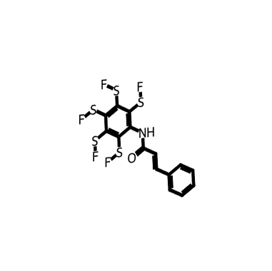 O=C(C=Cc1ccccc1)Nc1c(SF)c(SF)c(SF)c(SF)c1SF